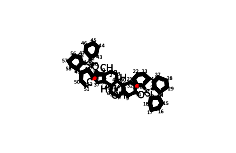 C[C@]12CC[C@@H]3[C@@H](CCC4=CC(O[Si](c5ccccc5)(c5ccccc5)c5ccccc5)CC[C@@]43CO)[C@@H]1CCC2O[Si](c1ccccc1)(c1ccccc1)c1ccccc1